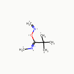 C=NO/C(=N\C)C(C)(C)C